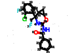 O=C(NC1=N[C@](CF)(c2cccc(F)c2Cl)[C@H]2CC2O1)c1ccccc1